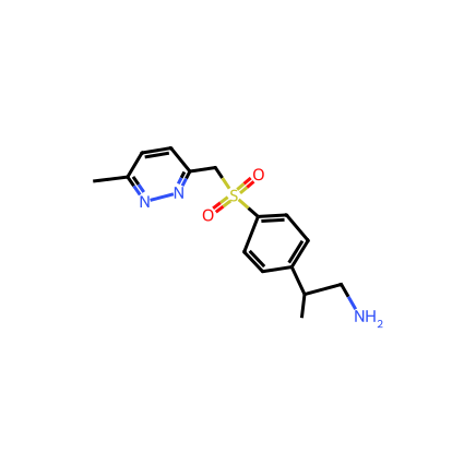 Cc1ccc(CS(=O)(=O)c2ccc(C(C)CN)cc2)nn1